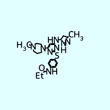 CCC(=O)Nc1ccc(Sc2nc(NC3CC(C)=NN3)cc(N3CCCN(C)CC3)n2)cc1